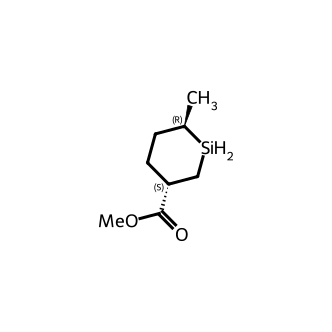 COC(=O)[C@@H]1CC[C@@H](C)[SiH2]C1